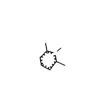 CC(C)c1cccc(C(C)(C)C)[n+]1O